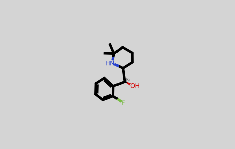 CC1(C)CCCC([C@@H](O)c2ccccc2F)N1